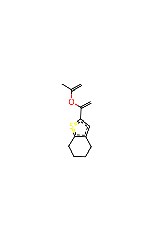 C=C(C)OC(=C)c1cc2c(s1)CCCC2